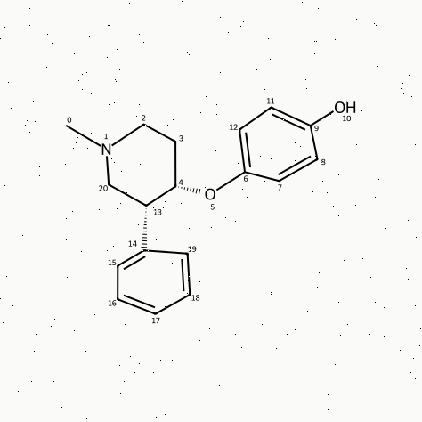 CN1CC[C@H](Oc2ccc(O)cc2)[C@H](c2ccccc2)C1